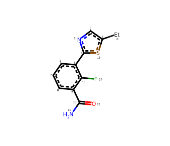 CCc1cnc(-c2cccc(C(N)=O)c2F)s1